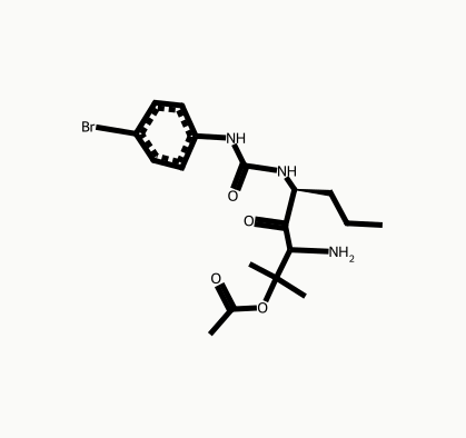 CCC[C@H](NC(=O)Nc1ccc(Br)cc1)C(=O)C(N)C(C)(C)OC(C)=O